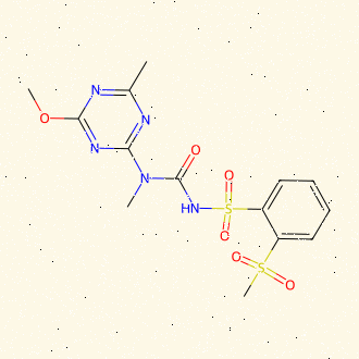 COc1nc(C)nc(N(C)C(=O)NS(=O)(=O)c2ccccc2S(C)(=O)=O)n1